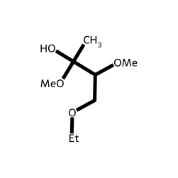 CCOCC(OC)C(C)(O)OC